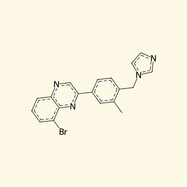 Cc1cc(-c2cnc3cccc(Br)c3n2)ccc1Cn1ccnc1